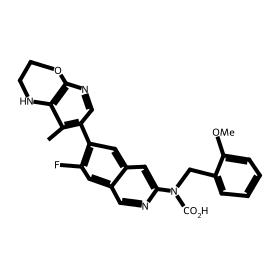 COc1ccccc1CN(C(=O)O)c1cc2cc(-c3cnc4c(c3C)NCCO4)c(F)cc2cn1